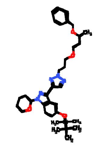 CC(CCOCCCn1ncc(-c2nn(C3CCCCO3)c3ccc(O[Si](C)(C)C(C)(C)C)cc23)n1)OCc1ccccc1